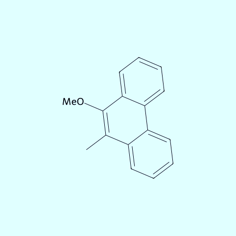 COc1c(C)c2ccccc2c2ccccc12